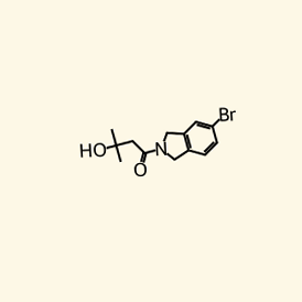 CC(C)(O)CC(=O)N1Cc2ccc(Br)cc2C1